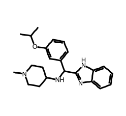 CC(C)Oc1cccc(C(NC2CCN(C)CC2)c2nc3ccccc3[nH]2)c1